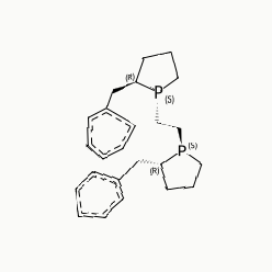 c1ccc(C[C@H]2CCC[P@]2CC[P@@]2CCC[C@@H]2Cc2ccccc2)cc1